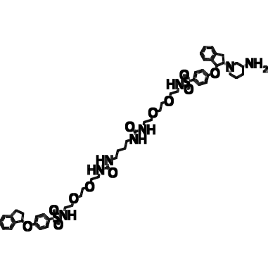 N[C@@H]1CCCN([C@H]2Cc3ccccc3[C@@H]2Oc2ccc(S(=O)(=O)NCCOCCOCCNC(=O)NCCCCNC(=O)NCCOCCOCCNS(=O)(=O)c3ccc(O[C@@H]4CCc5ccccc54)cc3)cc2)C1